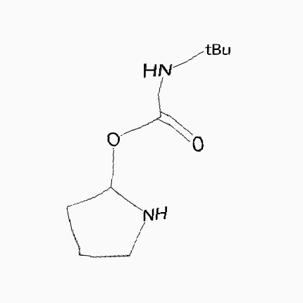 CC(C)(C)NC(=O)OC1CCCN1